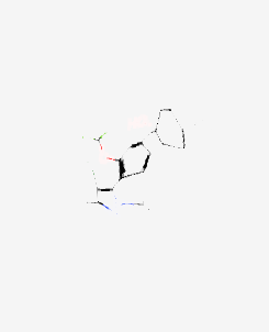 CCOC(=O)c1nn(CC)c(-c2ccc([C@]3(O)CC[C@@H](C(F)(F)F)CC3)cc2OC(F)F)c1Cl